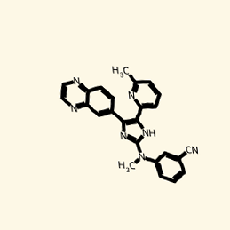 Cc1cccc(-c2[nH]c(N(C)c3cccc(C#N)c3)nc2-c2ccc3nccnc3c2)n1